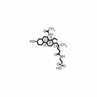 CC(=O)N[C@H]1CC2C[C@H](O)CC[C@]2(C)[C@H]2CC[C@]3(C)[C@@H]([C@H](C)CCC(=O)NCCS(=O)(=O)O)CC[C@H]3[C@H]12